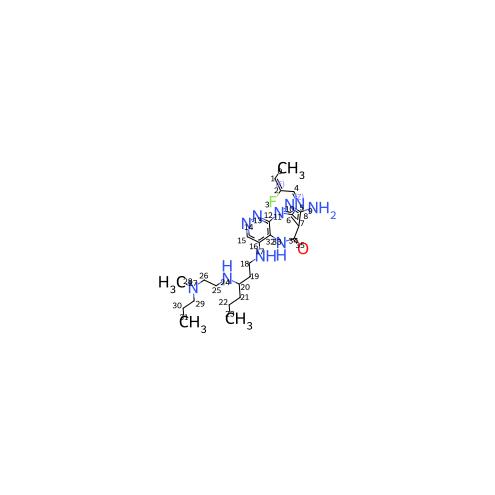 C/C=C(F)\C=N/c1c2c(N)nn1-c1nncc(NCCC(CCC)NCCN(C)CCC)c1NC2=O